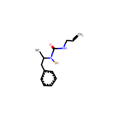 C=CCNC(=O)N(S)C(C#N)Cc1ccccc1